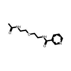 CC(=O)NCCOCCNC(=O)c1cccnc1